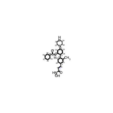 Cc1cc(/C=C/C(=O)NO)ccc1-c1ccc(N2CCNCC2)cc1NC(=O)c1ccccc1